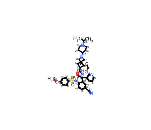 CCOc1ncccc1[C@@]1(NC(=O)C2CC3(C2)CN(C2CCN(C(C)C)CC2)C3)C(=O)N(S(=O)(=O)c2ccc(OC)cc2)c2ccc(C#N)cc21